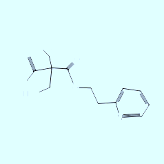 CCC(CC)(C(=O)O)C(=O)OCCc1ccccn1